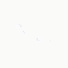 Cc1csc(-n2c[c]cn2)n1